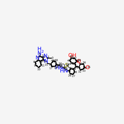 Cc1nc2c(N)nc3ccccc3c2n1Cc1ccc(CNC(=S)Nc2cccc(-c3c4ccc(=O)cc-4oc4cc(O)ccc34)c2C(=O)O)cc1